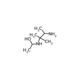 CC(O)NC(C)(C)C(C)N